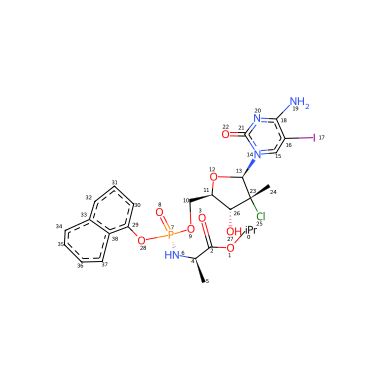 CC(C)OC(=O)[C@@H](C)N[P@](=O)(OC[C@H]1O[C@@H](n2cc(I)c(N)nc2=O)[C@](C)(Cl)[C@@H]1O)Oc1cccc2ccccc12